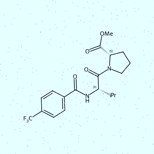 COC(=O)[C@@H]1CCCN1C(=O)[C@@H](NC(=O)c1ccc(C(F)(F)F)cc1)C(C)C